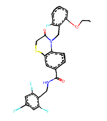 CCOc1cccc(F)c1CN1C(=O)CSc2cc(C(=O)NCc3c(F)cc(F)cc3F)ccc21